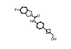 O=C(Nc1ccc(C23CC(CO)(C2)C3)cc1)N1Cc2ccc(F)cc2C1